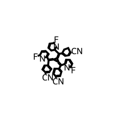 N#CC1=CC=C(/C(=C2/C(=C(c3ccc(C#N)cc3)c3cccc(F)n3)/C2=C(\c2ccc(C#N)cc2)c2cccc(F)n2)C2CC=CC(F)=N2)CC1